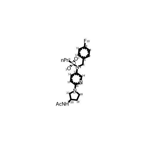 CCCS(=O)(=O)N(Cc1ccc(F)cc1)c1ccc(N2CCC(NC(C)=O)C2)nc1